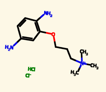 C[N+](C)(C)CCCOc1cc(N)ccc1N.Cl.[Cl-]